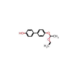 C=COC(C)Oc1ccc(-c2ccc(O)cc2)cc1